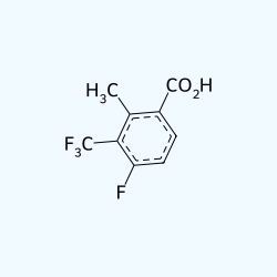 Cc1c(C(=O)O)ccc(F)c1C(F)(F)F